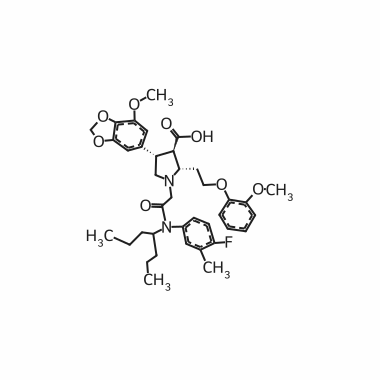 CCCC(CCC)N(C(=O)CN1C[C@H](c2cc(OC)c3c(c2)OCO3)[C@@H](C(=O)O)[C@@H]1CCOc1ccccc1OC)c1ccc(F)c(C)c1